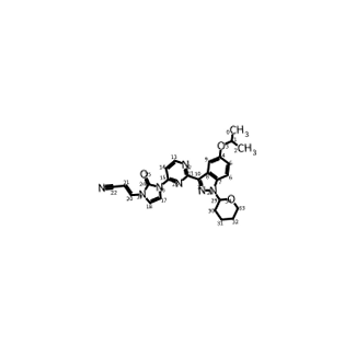 CC(C)Oc1ccc2c(c1)c(-c1nccc(-n3ccn(C=CC#N)c3=O)n1)nn2C1CCCCO1